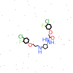 O=C(COc1ccc(Cl)c(F)c1)NNC1CCC(NCCCOc2ccc(Cl)c(F)c2)C1